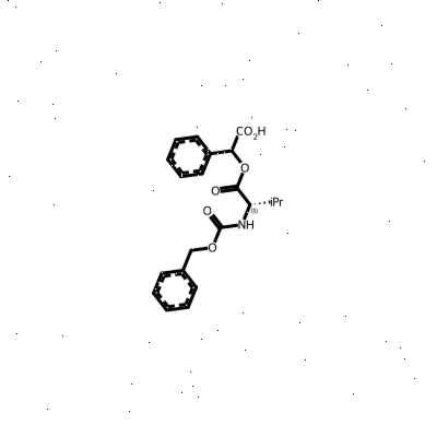 CC(C)[C@H](NC(=O)OCc1ccccc1)C(=O)OC(C(=O)O)c1ccccc1